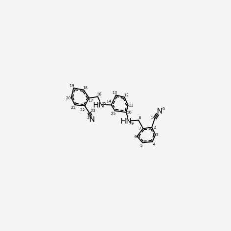 N#Cc1ccccc1CNc1cccc(NCc2ccccc2C#N)c1